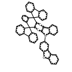 c1ccc2c(c1)-c1ccccc1C21c2ccccc2C2(c3ccccc3-c3ccccc32)c2cc3c(cc21)c1ccccc1n3-c1ccc2oc3ccccc3c2c1